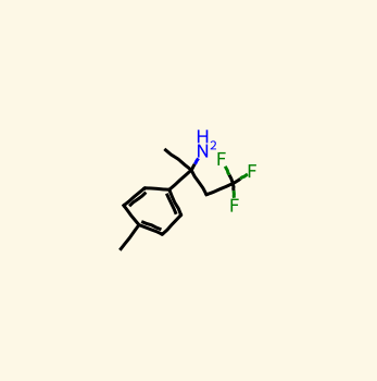 Cc1ccc(C(C)(N)CC(F)(F)F)cc1